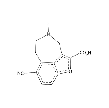 CN1CCc2c(C#N)ccc3oc(C(=O)O)c(c23)C1